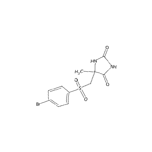 CC1(CS(=O)(=O)c2ccc(Br)cc2)NC(=O)NC1=O